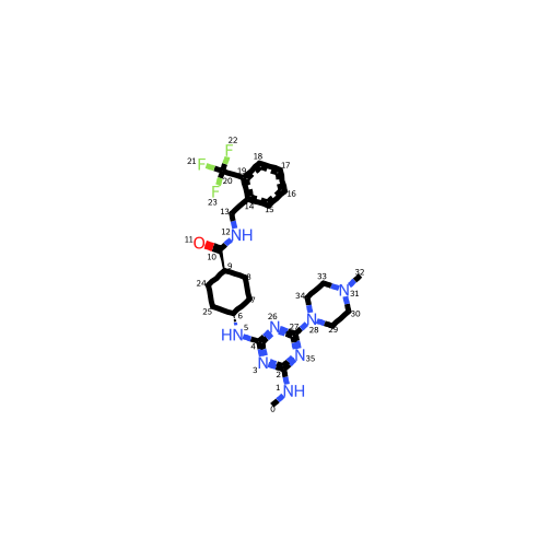 CNc1nc(N[C@H]2CC[C@H](C(=O)NCc3ccccc3C(F)(F)F)CC2)nc(N2CCN(C)CC2)n1